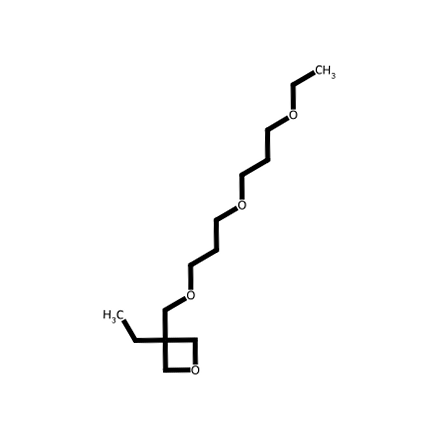 CCOCCCOCCCOCC1(CC)COC1